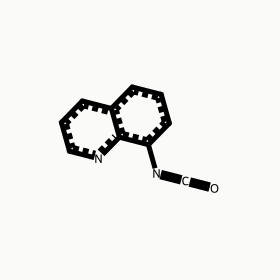 O=C=Nc1cccc2cccnc12